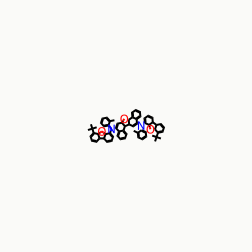 Cc1ccccc1N(C1=CC2C(OC3C=C(N(C4=CC=CC5C4OC4C(C(C)(C)C)=CC=CC45)c4ccccc4C)c4ccccc4C32)c2ccccc21)C1=CC=CC2C1OC1C(C(C)(C)C)=CC=CC12